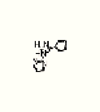 N[C@@H](CNc1ncccn1)c1ccccc1